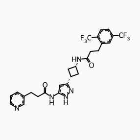 O=C(CCc1cccnc1)Nc1cc([C@H]2C[C@@H](NC(=O)CCc3cc(C(F)(F)F)ccc3C(F)(F)F)C2)n[nH]1